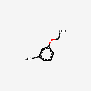 O=CCOc1cccc(C=O)c1